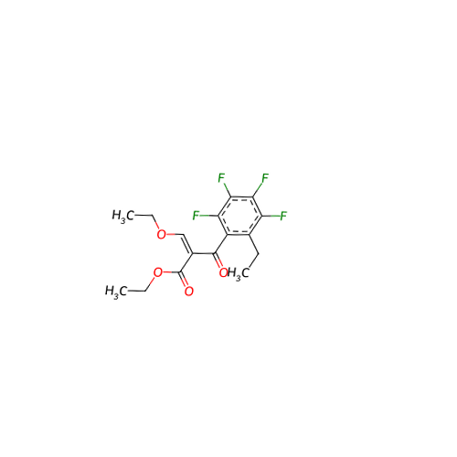 CCO/C=C(\C(=O)OCC)C(=O)c1c(F)c(F)c(F)c(F)c1CC